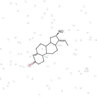 C/C=C1/[C@H](N=O)CC2C3CCC4=CC(=O)CC[C@]4(C)C3CC[C@]12C